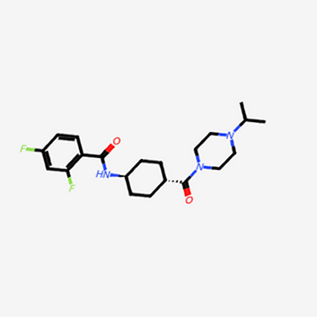 CC(C)N1CCN(C(=O)[C@H]2CC[C@H](NC(=O)c3ccc(F)cc3F)CC2)CC1